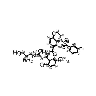 Cc1cccc(S(=O)(=O)N2CCOc3ccc(C(=O)N[C@@H](CC(=O)NC[C@H](N)CO)c4cc(C(F)(F)F)ccc4Cl)cc32)c1